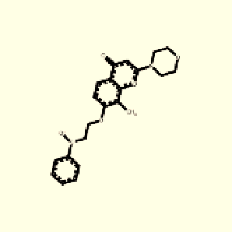 Cc1c(OCC[S+]([O-])c2ccccc2)ccc2c(=O)cc(N3CCOCC3)oc12